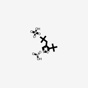 CC(C)(C)Cc1cs[s+]c1C(C)(C)C.O=S(=O)([O-])O.O=[N+]([O-])O